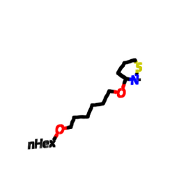 CCCCCCOCCCCCCOC1CCCS[N]1